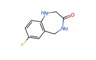 O=C1CNc2ccc(F)cc2CN1